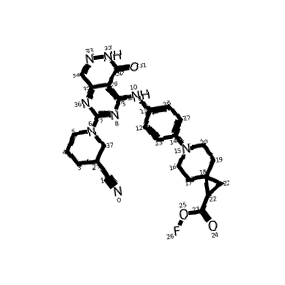 N#CC1CCCN(c2nc(Nc3ccc(N4CCC5(CC4)CC5C(=O)OF)cc3)c3c(=O)[nH]ncc3n2)C1